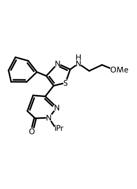 COCCNc1nc(-c2ccccc2)c(-c2ccc(=O)n(C(C)C)n2)s1